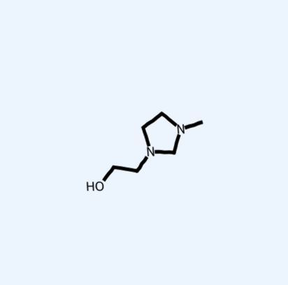 CN1CCN(CCO)C1